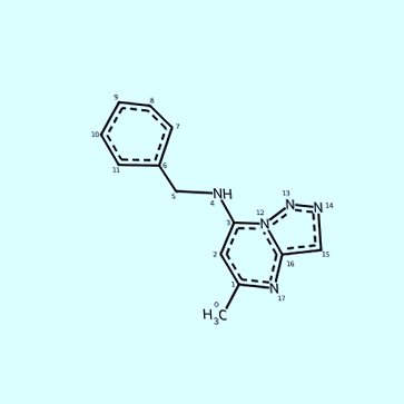 Cc1cc(NCc2ccccc2)n2nncc2n1